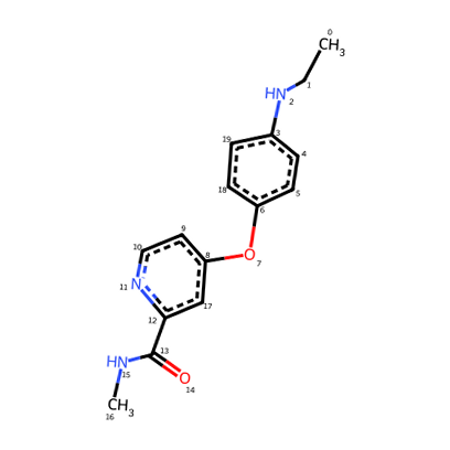 CCNc1ccc(Oc2ccnc(C(=O)NC)c2)cc1